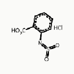 Cl.O=C(O)c1ccccc1N=S(=O)=O